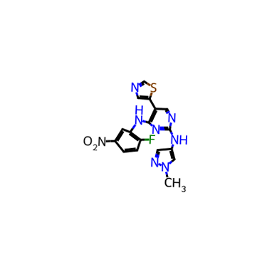 Cn1cc(Nc2ncc(-c3cncs3)c(Nc3cc([N+](=O)[O-])ccc3F)n2)cn1